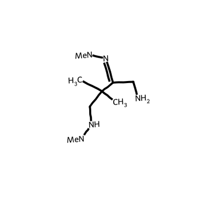 CN/N=C(/CN)C(C)(C)CNNC